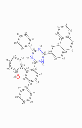 C1=Cc2ccccc2C2CC(c3nc(-c4ccccc4)nc(-c4ccc(-c5ccccc5)c5oc6ccccc6c45)n3)=CC=C12